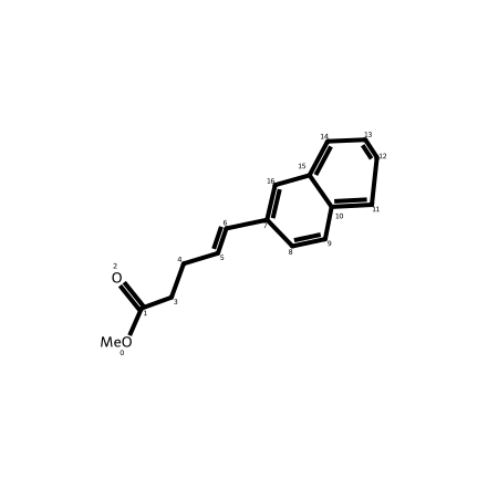 COC(=O)CC/C=C/c1ccc2ccccc2c1